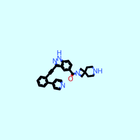 O=C(c1ccc2[nH]nc(C#Cc3ccccc3-c3ccncc3)c2c1)N1CC2(CCNCC2)C1